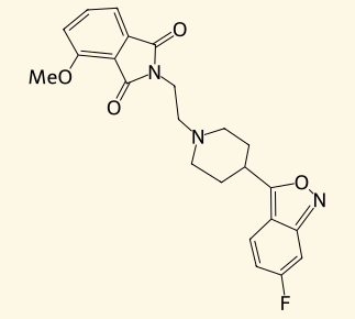 COc1cccc2c1C(=O)N(CCN1CCC(c3onc4cc(F)ccc34)CC1)C2=O